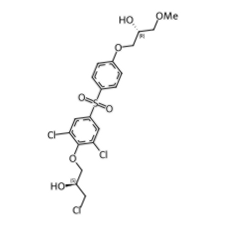 COC[C@@H](O)COc1ccc(S(=O)(=O)c2cc(Cl)c(OC[C@H](O)CCl)c(Cl)c2)cc1